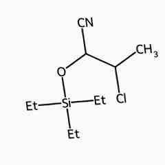 CC[Si](CC)(CC)OC(C#N)C(C)Cl